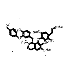 CCc1cc(Oc2c(OC)c(OC)cc3c2[C@H](Cc2ccc(OC)c(Oc4ccc(CS)cc4)c2)N(C)CC3)c(OC)cc1CCNC